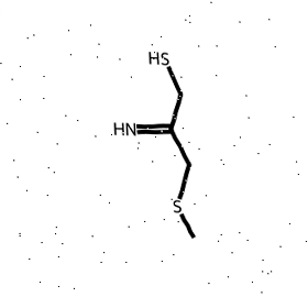 CSCC(=N)CS